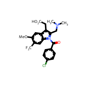 COc1cc2c(CC(=O)O)c(CN(C)C)n(C(=O)c3ccc(Cl)cc3)c2cc1C(F)(F)F